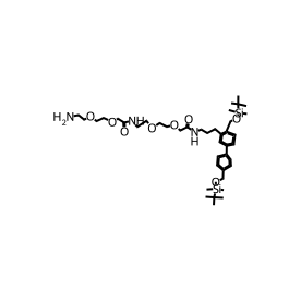 CC(C)(C)[Si](C)(C)OCc1ccc(-c2ccc(CO[Si](C)(C)C(C)(C)C)c(CCCNC(=O)COCCOCCNC(=O)COCCOCCN)c2)cc1